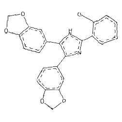 Clc1ccccc1-c1nc(-c2ccc3c(c2)OCO3)c(-c2ccc3c(c2)OCO3)[nH]1